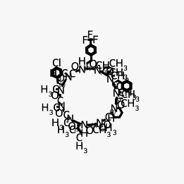 CC[C@H](C)[C@@H]1NC(=O)[C@H](C)N(C)C(=O)C[C@H]2CCCCN2C(=O)[C@H](C(C)C)N(C)C(=O)[C@H](Cc2ccccc2)N(C)C(=O)[C@H](CC(C)C)N(C)C(=O)[C@H](CCc2ccc(C(F)(F)F)cc2)NC(=O)CN(C)C(=O)[C@H](Cc2ccc(Cl)cc2)N(C)C(=O)CN(C)C(=O)CN(C)C1=O